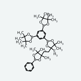 CC1(C)OB(c2cc(B3OC(C)(C)C(C)(C)O3)cc(B3OC(C)(C)C(C)(CCC4(C)OB(c5ccccc5)OC4(C)C)O3)c2)OC1(C)C